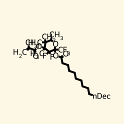 C=C(C)C(=O)OC1(C)C(C)(C)C(C)OC(OC(=O)CCCCCCCCCCCCCCCCCCC)(C(F)(F)F)C1(F)F